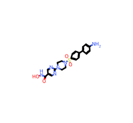 Nc1ccc(-c2ccc(S(=O)(=O)N3CCN(c4ncc(C(=O)NO)cn4)CC3)cc2)cc1